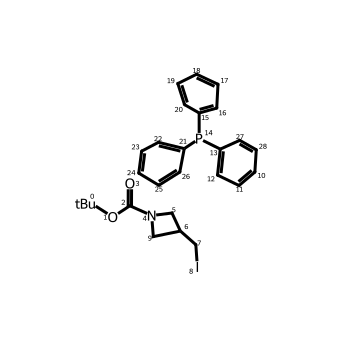 CC(C)(C)OC(=O)N1CC(CI)C1.c1ccc(P(c2ccccc2)c2ccccc2)cc1